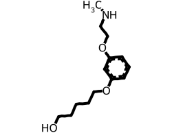 CNCCOc1cccc(OCCCCCO)c1